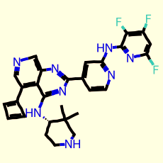 CC1(C)CNCC[C@@H]1Nc1nc(-c2ccnc(Nc3nc(F)cc(F)c3F)c2)nc2cncc(C3=CC=C3)c12